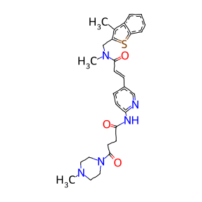 Cc1c(CN(C)C(=O)C=Cc2ccc(NC(=O)CCC(=O)N3CCN(C)CC3)nc2)sc2ccccc12